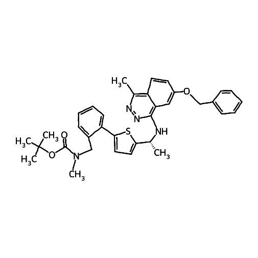 Cc1nnc(N[C@H](C)c2ccc(-c3ccccc3CN(C)C(=O)OC(C)(C)C)s2)c2cc(OCc3ccccc3)ccc12